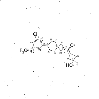 C[C@]1(O)C[C@@H](C(=O)N2CC3(CCC(c4cc(Cl)cc(OC(F)(F)F)c4)CC3)C2)C1